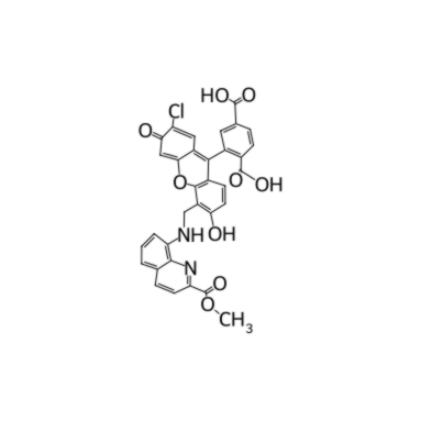 COC(=O)c1ccc2cccc(NCc3c(O)ccc4c(-c5cc(C(=O)O)ccc5C(=O)O)c5cc(Cl)c(=O)cc-5oc34)c2n1